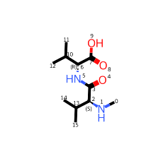 CN[C@H](C(=O)N[C@@H](C(=O)O)C(C)C)C(C)C